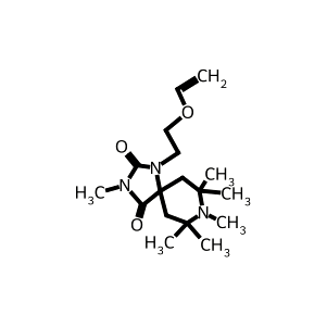 C=COCCN1C(=O)N(C)C(=O)C12CC(C)(C)N(C)C(C)(C)C2